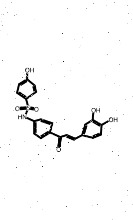 O=C(/C=C/c1ccc(O)c(O)c1)c1ccc(NS(=O)(=O)c2ccc(O)cc2)cc1